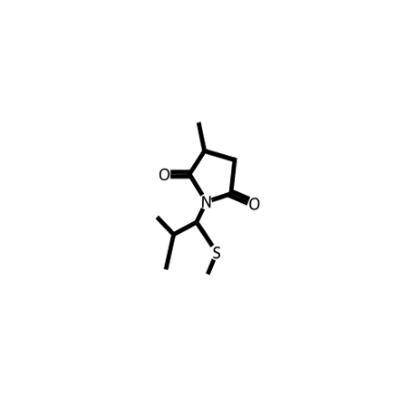 CSC(C(C)C)N1C(=O)CC(C)C1=O